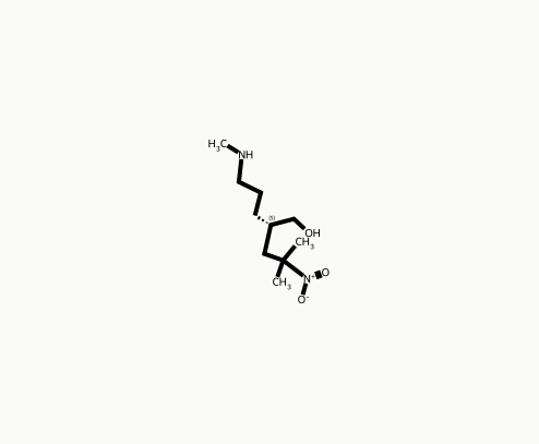 CNCCC[C@H](CO)CC(C)(C)[N+](=O)[O-]